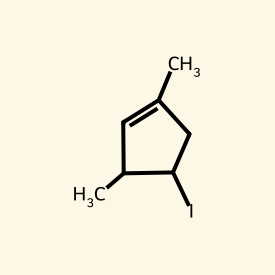 CC1=CC(C)C(I)C1